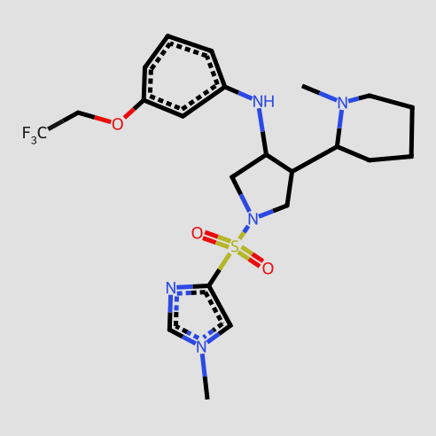 CN1CCCCC1C1CN(S(=O)(=O)c2cn(C)cn2)CC1Nc1cccc(OCC(F)(F)F)c1